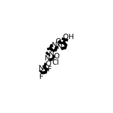 Cc1cnc(-n2cccc(C(C)(C)O)c2=O)cc1-n1c(C)nc(OCc2ncc(F)cc2F)c(Cl)c1=O